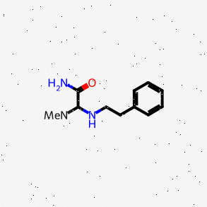 CNC(NCCc1ccccc1)C(N)=O